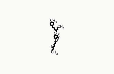 CCCC(I)CCCCOc1ccc(OCC(CCC)CCCC2CCC(C)CC2)c(F)c1F